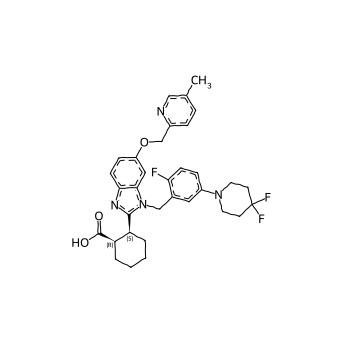 Cc1ccc(COc2ccc3nc([C@H]4CCCC[C@H]4C(=O)O)n(Cc4cc(N5CCC(F)(F)CC5)ccc4F)c3c2)nc1